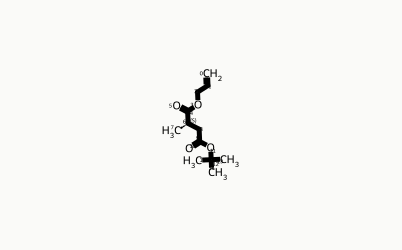 C=CCOC(=O)[C@@H](C)CC(=O)OC(C)(C)C